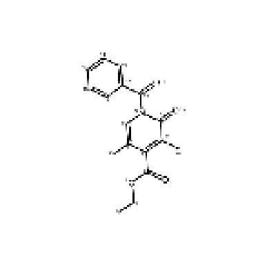 CCOC(=O)c1c(C)cn(C(=O)c2ccccc2)c(=O)c1C